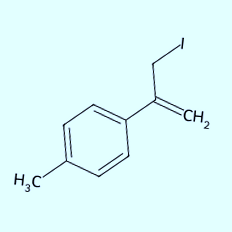 C=C(CI)c1ccc(C)cc1